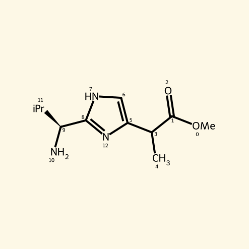 COC(=O)C(C)c1c[nH]c([C@@H](N)C(C)C)n1